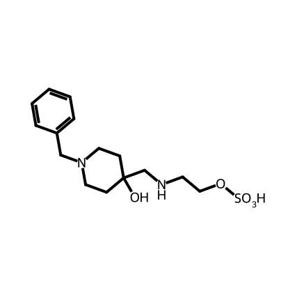 O=S(=O)(O)OCCNCC1(O)CCN(Cc2ccccc2)CC1